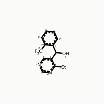 CCc1ncncc1C(O)c1ccccc1C(F)(F)F